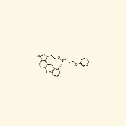 COc1ccc2[nH]c(C)c(CCO/N=C/CCOc3ccccc3)c2c1Cc1ccccc1Cl